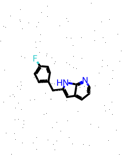 Fc1ccc(Cc2cc3cccnc3[nH]2)cc1